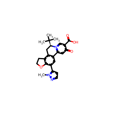 Cn1nccc1-c1cc2c(c3c1OCC3)C[C@@H](C(C)(C)C)n1cc(C(=O)O)c(=O)cc1-2